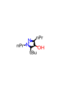 CCCc1nn(CCC)c(C(C)(C)C)c1O